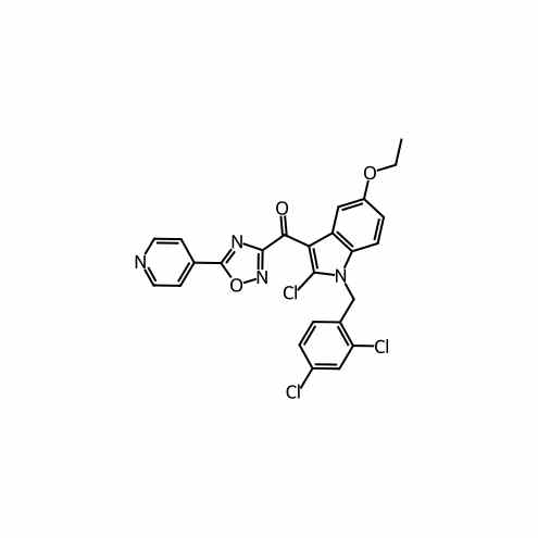 CCOc1ccc2c(c1)c(C(=O)c1noc(-c3ccncc3)n1)c(Cl)n2Cc1ccc(Cl)cc1Cl